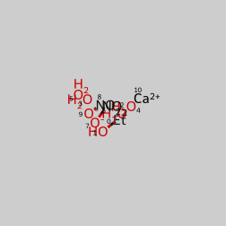 CCO.O.O.O.O.O=[N+]([O-])[O-].O=[N+]([O-])[O-].[Ca+2]